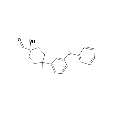 CC1(c2cccc(Oc3ccccc3)c2)CCC(O)(C=O)CC1